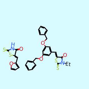 CCN1C(=O)C(=Cc2cc(OCc3ccccc3)cc(OCc3ccccc3)c2)SC1=S.O=C1NC(=S)SC1=Cc1ccco1